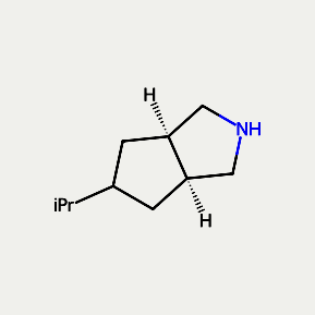 CC(C)C1C[C@H]2CNC[C@H]2C1